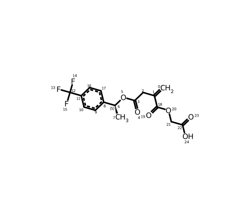 C=C(CC(=O)O[C@@H](C)c1ccc(C(F)(F)F)cc1)C(=O)OCC(=O)O